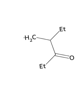 [CH2]C(CC)C(=O)CC